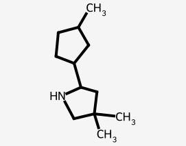 CC1CCC(C2CC(C)(C)CN2)C1